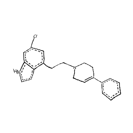 Clc1cc(CCN2CC=C(c3ccccc3)CC2)c2cc[nH]c2c1